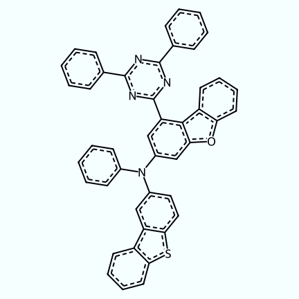 c1ccc(-c2nc(-c3ccccc3)nc(-c3cc(N(c4ccccc4)c4ccc5sc6ccccc6c5c4)cc4oc5ccccc5c34)n2)cc1